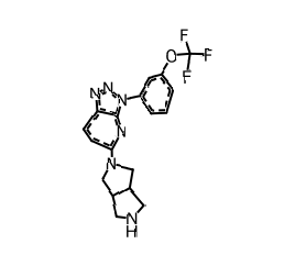 FC(F)(F)Oc1cccc(-n2nnc3ccc(N4CC5CNCC5C4)nc32)c1